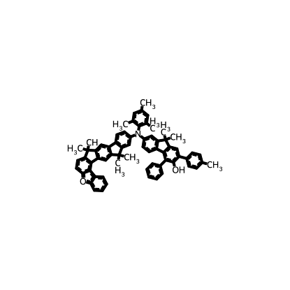 Cc1ccc(-c2cc3c(c(-c4ccccc4)c2O)-c2ccc(N(c4ccc5c(c4)C(C)(C)c4cc6c(cc4-5)C(C)(C)c4ccc5oc7ccccc7c5c4-6)c4c(C)cc(C)cc4C)cc2C3(C)C)cc1